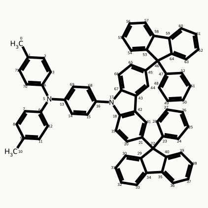 Cc1ccc(N(c2ccc(C)cc2)c2ccc(-n3c4ccc(C5(c6ccccc6)c6ccccc6-c6ccccc65)cc4c4cc(C5(c6ccccc6)c6ccccc6-c6ccccc65)ccc43)cc2)cc1